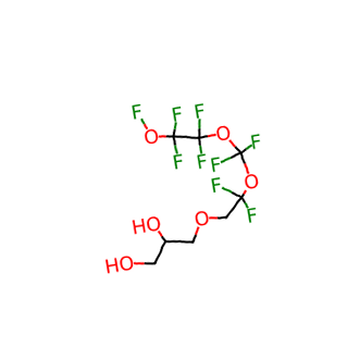 OCC(O)COCC(F)(F)OC(F)(F)OC(F)(F)C(F)(F)OF